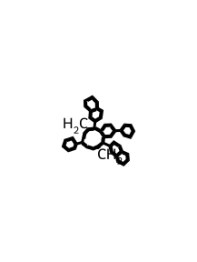 C=c1cc(-c2ccccc2)ccc(=C)c(-c2ccc3ccccc3c2)c2cc(-c3ccccc3)ccc2c1-c1ccc2ccccc2c1